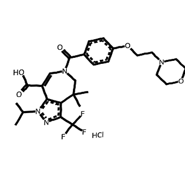 CC(C)n1nc(C(F)(F)F)c2c1C(C(=O)O)=CN(C(=O)c1ccc(OCCN3CCOCC3)cc1)CC2(C)C.Cl